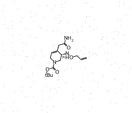 C=CCON[C@H]1CN(C(=O)OC(C)(C)C)CC=C1CC(N)=O